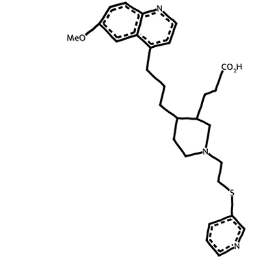 COc1ccc2nccc(CCCC3CCN(CCSc4cccnc4)CC3CCC(=O)O)c2c1